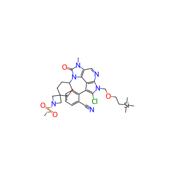 Cn1c(=O)n(C2CCC3(CC2)CN(S(C)(=O)=O)C3)c2c3c(-c4ccccc4C#N)c(Cl)n(COCC[Si](C)(C)C)c3ncc21